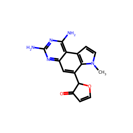 Cn1ccc2c3c(N)nc(N)nc3cc(C3OC=CC3=O)c21